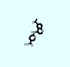 CC(=O)c1ccc2nccc(Nc3ccc(C(=O)O)cn3)c2c1